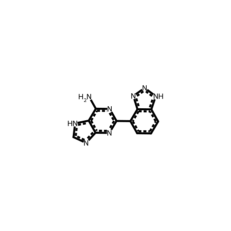 Nc1nc(-c2cccc3[nH]nnc23)nc2nc[nH]c12